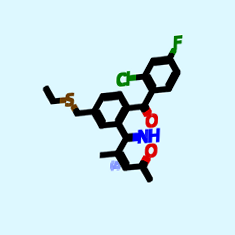 CCSCc1ccc(C(=O)c2ccc(F)cc2Cl)c(C(=N)/C(C)=C\C(C)=O)c1